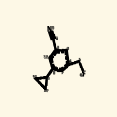 N#Cc1cc(CF)cc(C2CC2)c1